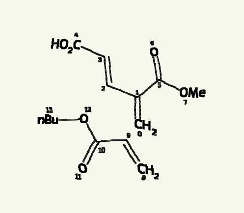 C=C(C=CC(=O)O)C(=O)OC.C=CC(=O)OCCCC